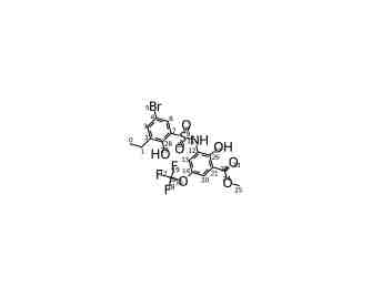 CCc1cc(Br)cc(S(=O)(=O)Nc2cc(OC(F)(F)F)cc(C(=O)OC)c2O)c1O